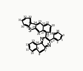 c1ccc(-c2nc3ccc4ccccc4c3nc2-c2cccc3cc4c(cc23)sc2ccccc24)cc1